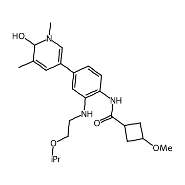 COC1CC(C(=O)Nc2ccc(C3=CN(C)C(O)C(C)=C3)cc2NCCOC(C)C)C1